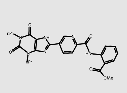 CCCn1c(=O)c2[nH]c(-c3ccc(C(=O)Nc4ccccc4C(=O)OC)nc3)nc2n(CCC)c1=O